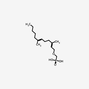 CCCCCC(C)=CCCC(C)=CCOCP(=O)(O)O